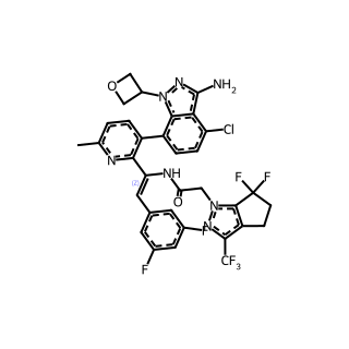 Cc1ccc(-c2ccc(Cl)c3c(N)nn(C4COC4)c23)c(/C(=C/c2cc(F)cc(F)c2)NC(=O)Cn2nc(C(F)(F)F)c3c2C(F)(F)CC3)n1